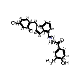 Nc1cc(C(=O)N/N=C/c2cccc3c2ccn3Cc2ccc(Cl)cc2Cl)ccc1O